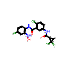 O=C(Nc1ccc(F)cc1NO)c1cc(NC(=O)C2CC2(Cl)Cl)ccc1Cl